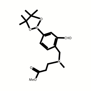 COC(=O)CCN(C)Cc1ccc(B2OC(C)(C)C(C)(C)O2)cc1C=O